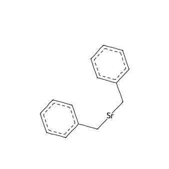 c1ccc([CH2][Sr][CH2]c2ccccc2)cc1